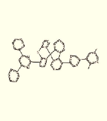 Cc1cnc(C)c(-c2ccc(-c3cccc4c3-c3ccccc3C43c4ccccc4Sc4c(-c5nc(-c6ccccc6)cc(-c6ccccc6)n5)cccc43)cc2)c1